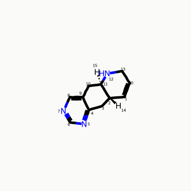 C1=C[C@@H]2Cc3ncncc3C[C@H]2NC1